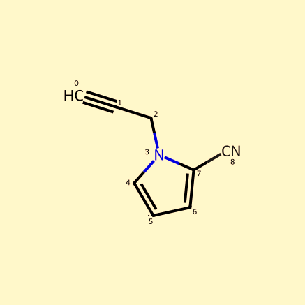 C#CCn1c[c]cc1C#N